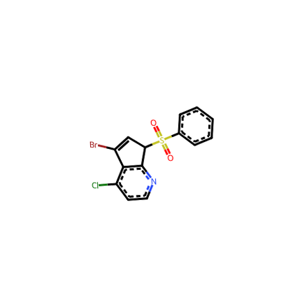 O=S(=O)(c1ccccc1)C1C=C(Br)c2c(Cl)ccnc21